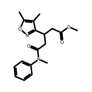 COC(=O)CC(CC(=O)N(C)c1ccccc1)c1noc(C)c1C